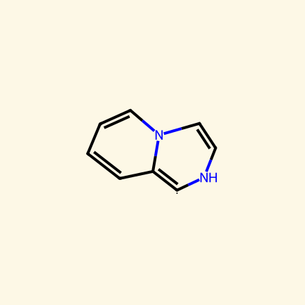 [C]1=C2C=CC=CN2C=CN1